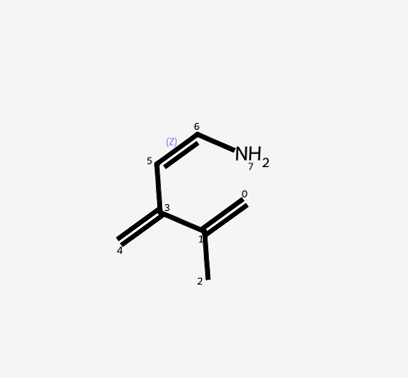 C=C(C)C(=C)/C=C\N